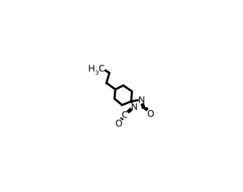 CCCC1CCC(N=C=O)(N=C=O)CC1